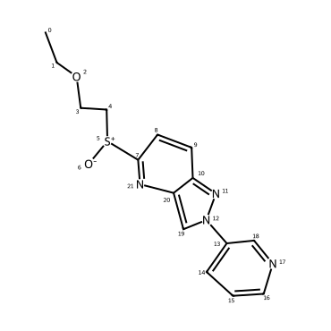 CCOCC[S+]([O-])c1ccc2nn(-c3cccnc3)cc2n1